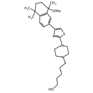 COC1(C)CCC(C)(C)c2ccc(-c3csc(N4CCN(CCCCCO)CC4)n3)cc21